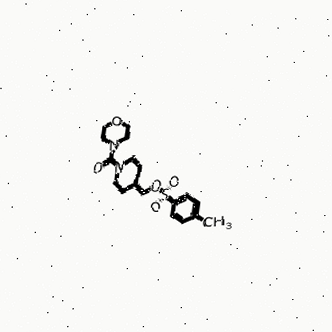 Cc1ccc(S(=O)(=O)OCC2CCN(C(=O)N3CCOCC3)CC2)cc1